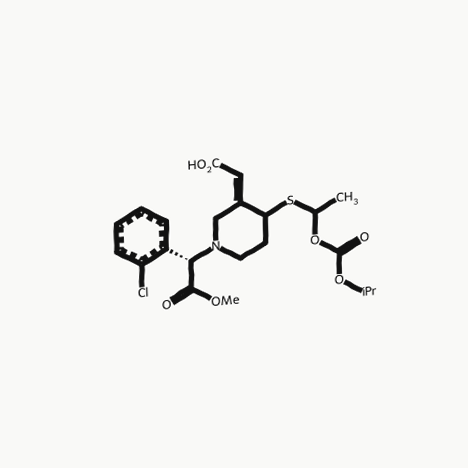 COC(=O)[C@H](c1ccccc1Cl)N1CCC(SC(C)OC(=O)OC(C)C)/C(=C/C(=O)O)C1